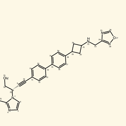 C[C@H](O)c1nccn1[C@@H](C#Cc1ccc(-c2ccc(C3CC(NCc4ncon4)C3)cc2)cc1)CO